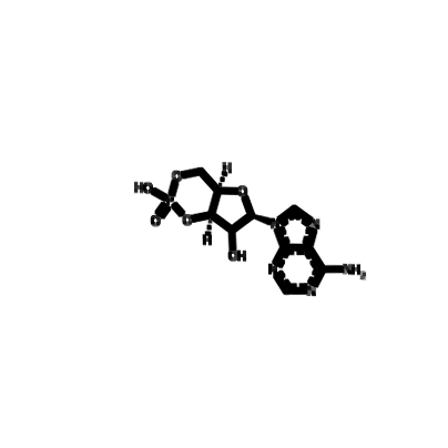 Nc1ncnc2c1ncn2[C@@H]1O[C@@H]2COP(=O)(O)O[C@@H]2C1O